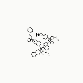 C[C@@H]1Cc2ccccc2CN1C(=O)c1cc2c(cc1-c1cc(C(=O)N(C)c3ccc(O)cc3)c3n1CCCC3)CN(C(=O)CCc1ccccc1)C2